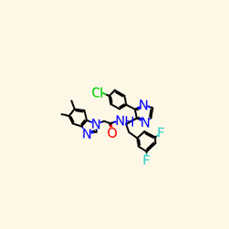 Cc1cc2ncn(CC(=O)NC(Cc3cc(F)cc(F)c3)c3nccnc3-c3ccc(Cl)cc3)c2cc1C